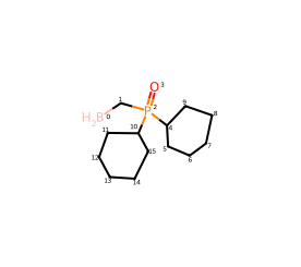 BCP(=O)(C1CCCCC1)C1CCCCC1